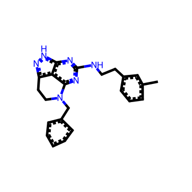 Cc1cccc(CCNc2nc3c4c(n[nH]c4n2)CCN3Cc2ccccc2)c1